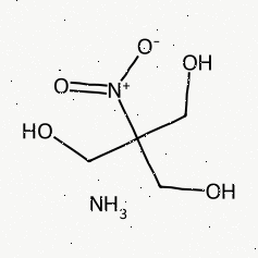 N.O=[N+]([O-])C(CO)(CO)CO